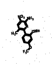 COc1cc(OC(F)(F)F)ccc1-c1nc(N)c([N+](=O)[O-])cc1C